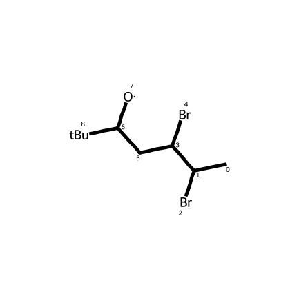 CC(Br)C(Br)CC([O])C(C)(C)C